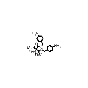 CCN([C]=O)C(NC)(C(=O)OCc1ccc(N)cc1)C(=O)OCc1ccc(N)cc1